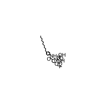 CCCCCCCCCCc1ccc(NC(=O)C2CCCN(C(=NC(=O)O)NC(=O)OC(C)(C)C)C2)cc1